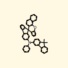 CC1(C)c2ccccc2-c2cc(N(c3ccccc3)c3ccc4c(c3)C3(c5ccccc5Oc5c3ccc3ccccc53)c3ccccc3-4)ccc21